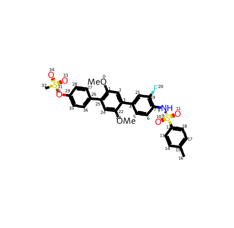 COc1cc(-c2ccc(NS(=O)(=O)c3ccc(C)cc3)c(F)c2)c(OC)cc1-c1ccc(OS(C)(=O)=O)cc1